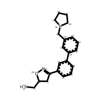 NCC1CC(c2cccc(-c3cccc(CN4CCCC4)c3)c2)=NO1